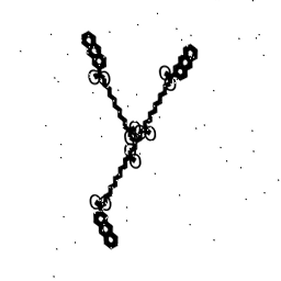 O=C(CCCCCCCCCOC(=O)c1ccc2cc3ccccc3cc2c1)OCC(COC(=O)CCCCCCCCCOC(=O)c1ccc2cc3ccccc3cc2c1)OC(=O)CCCCCCCCCOC(=O)c1ccc2cc3ccccc3cc2c1